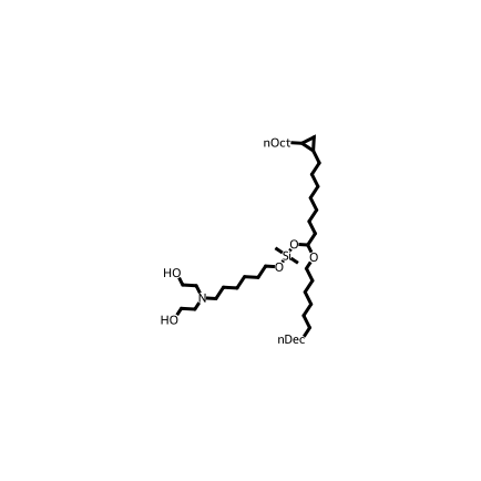 CCCCCCCCCCCCCCCCOC(CCCCCCCC1CC1CCCCCCCC)O[Si](C)(C)OCCCCCCN(CCO)CCO